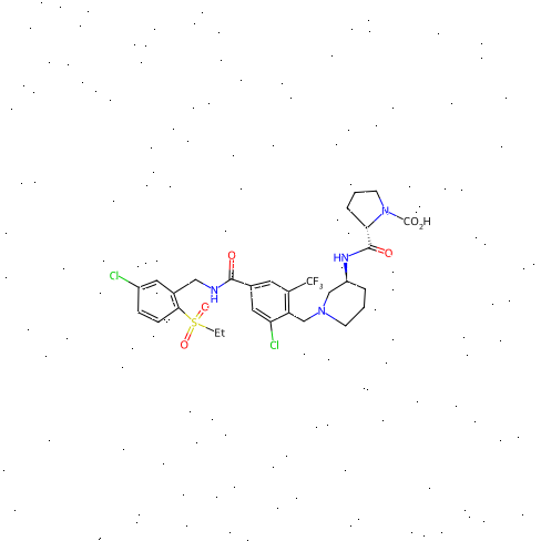 CCS(=O)(=O)c1ccc(Cl)cc1CNC(=O)c1cc(Cl)c(CN2CCC[C@H](NC(=O)[C@@H]3CCCN3C(=O)O)C2)c(C(F)(F)F)c1